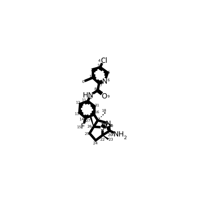 Cc1cc(Cl)cnc1C(=O)Nc1ccc(F)c([C@@]2(C)N=C(N)[C@]3(C)CC[C@@]2(C)S3(=O)=O)c1